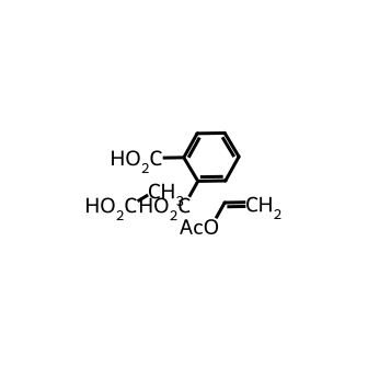 C=COC(C)=O.CC(=O)O.O=C(O)c1ccccc1C(=O)O